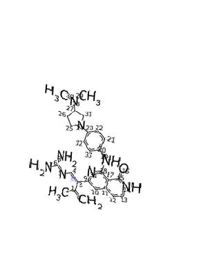 C=C(C)/C(=C\N=C(N)N)c1cc2cc[nH]c(=O)c2c(Nc2ccc(N3CCC(N(C)C)C3)cc2)n1